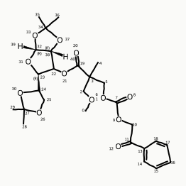 COCC(C)(COC(=O)OCC(=O)c1ccccc1)C(=O)OC1[C@@H](C2COC(C)(C)O2)O[C@@H]2OC(C)(C)O[C@H]12